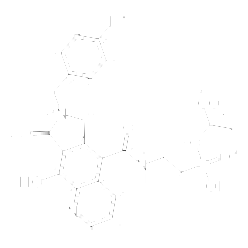 CC(OP(=O)(O)CCNC(=O)c1c2c(c(O)c3ncccc13)C(=O)N(Cc1ccc(F)cc1)C2)C(=O)O